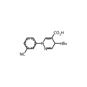 CCCCC1C=NN(c2cccc(C#N)c2)C=C1C(=O)O